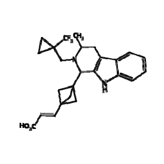 CC1Cc2c([nH]c3ccccc23)C(C23CC(/C=C/C(=O)O)(C2)C3)N1CC1(C(F)(F)F)CC1